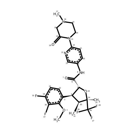 COc1c([C@H]2[C@H](C(=O)Nc3ccc(N4CCN(C)CC4=O)nc3)O[C@@](C)(C(F)(F)F)[C@H]2C)ccc(F)c1F